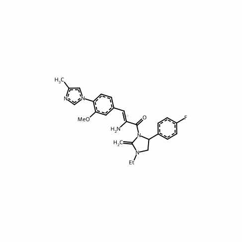 C=C1N(CC)CC(c2ccc(F)cc2)N1C(=O)/C(N)=C/c1ccc(-n2cnc(C)c2)c(OC)c1